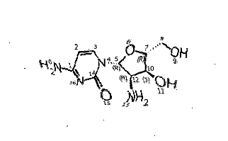 Nc1ccn([C@@H]2O[C@H](CO)[C@@H](O)[C@H]2N)c(=O)n1